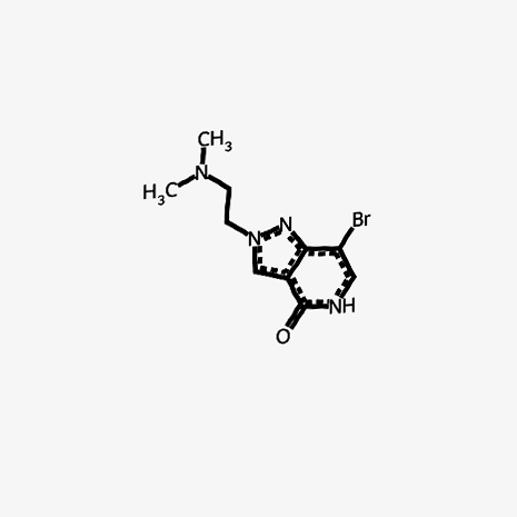 CN(C)CCn1cc2c(=O)[nH]cc(Br)c2n1